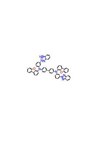 N=C1C=CC=C/C1=N/Nc1cccc(N(c2ccc(-c3ccc(N(c4cccc(-n5nc6ccccc6n5)c4)c4cccc5c4oc4ccccc45)cc3)cc2)c2cccc3c2oc2ccccc23)c1